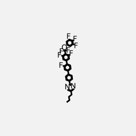 CCCCc1cnc(-c2ccc(-c3ccc(-c4cc(F)c(C(F)(F)Oc5cc(F)c(F)c(F)c5)c(F)c4)c(F)c3)cc2)nc1